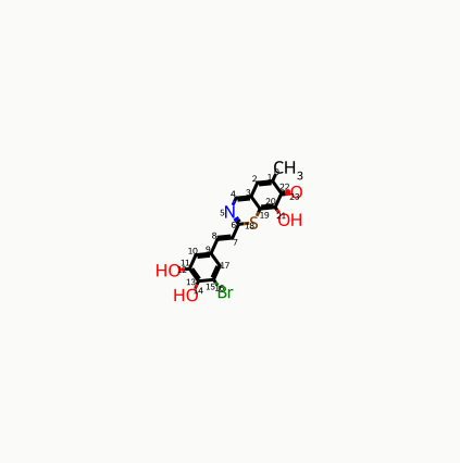 Cc1cc2cnc(/C=C/c3cc(O)c(O)c(Br)c3)sc-2c(O)c1=O